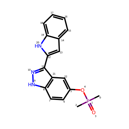 CP(C)(=O)Oc1ccc2[nH]nc(-c3cc4ccccc4[nH]3)c2c1